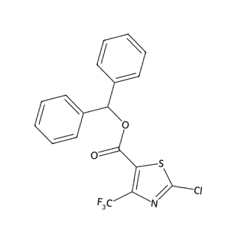 O=C(OC(c1ccccc1)c1ccccc1)c1sc(Cl)nc1C(F)(F)F